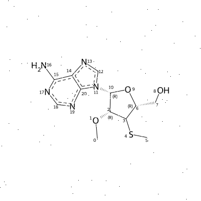 CO[C@H]1C(SC)[C@@H](CO)O[C@H]1n1cnc2c(N)ncnc21